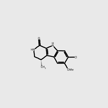 COc1cc2c3c([nH]c2cc1Cl)C(=O)NC[C@H]3C